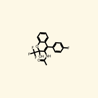 CC(=O)NC1=C(c2ccc(F)cc2)c2ccccc2OC1(O)C(F)(F)F